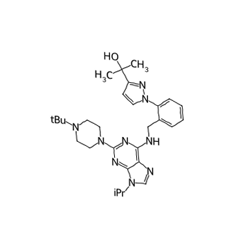 CC(C)n1cnc2c(NCc3ccccc3-n3ccc(C(C)(C)O)n3)nc(N3CCN(C(C)(C)C)CC3)nc21